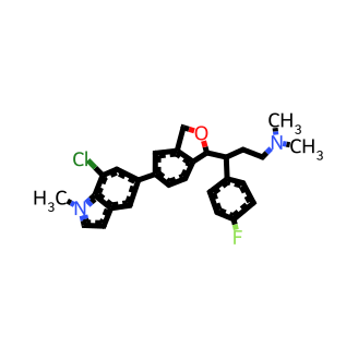 CN(C)CCC(c1ccc(F)cc1)C1OCc2cc(-c3cc(Cl)c4c(ccn4C)c3)ccc21